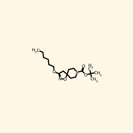 CCCCCCOC1=NOC2(CCN(C(=O)OC(C)(C)C)CC2)C1